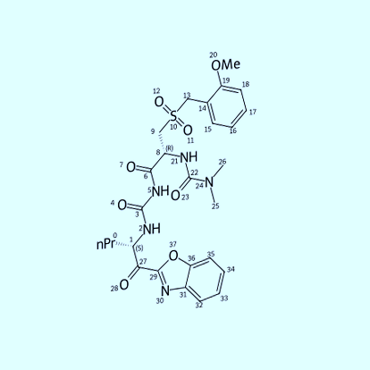 CCC[C@H](NC(=O)NC(=O)[C@H](CS(=O)(=O)Cc1ccccc1OC)NC(=O)N(C)C)C(=O)c1nc2ccccc2o1